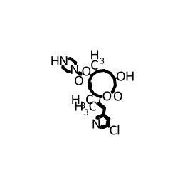 C/C(=C\c1cncc(Cl)c1)[C@@H]1OC(=O)C[C@H](O)CC[C@@H](C)[C@@H](OC(=O)N2CCNCC2)C=C[C@H]1C